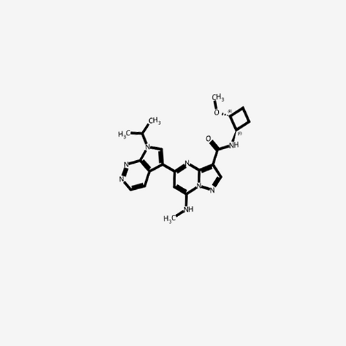 CNc1cc(-c2cn(C(C)C)c3nnccc23)nc2c(C(=O)N[C@@H]3CC[C@H]3OC)cnn12